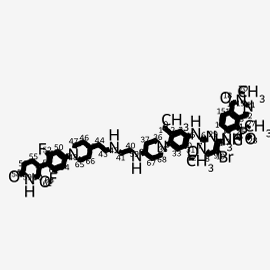 CCc1cc(Nc2ncc(Br)c(Nc3ccc4c(=O)n(C)ncc4c3P(C)(C)=O)n2)c(OC)cc1N1CCC(NCCNCCC2CCN(c3cc(F)c(C4CCC(=O)NC4=O)c(F)c3)CC2)CC1